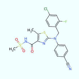 Cc1sc(N(Cc2ccc(Cl)cc2F)c2ccc(C#N)cc2)nc1C(=O)NS(C)(=O)=O